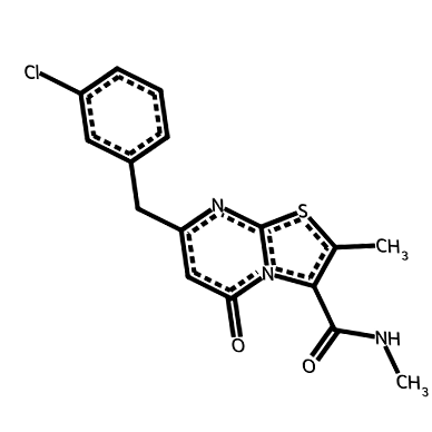 CNC(=O)c1c(C)sc2nc(Cc3cccc(Cl)c3)cc(=O)n12